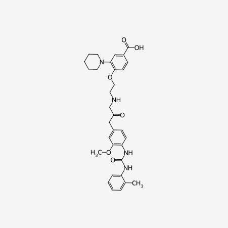 COc1cc(CC(=O)CNCCOc2ccc(C(=O)O)cc2N2CCCCC2)ccc1NC(=O)Nc1ccccc1C